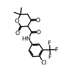 CC1(C)CC(=O)C(C(=O)Nc2ccc(Cl)c(C(F)(F)F)c2)C(=O)O1